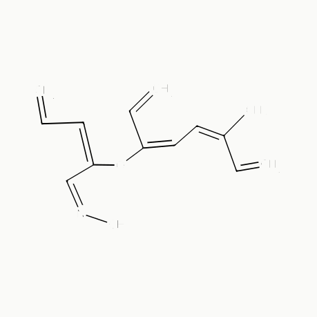 C=C/C=C(\C=N/C)O/C(C=C)=C/C=C(/C)C=C